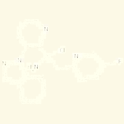 N[C@](Cl)(Cc1ccc(F)cn1)c1ncccc1-n1ncc2ccccc21